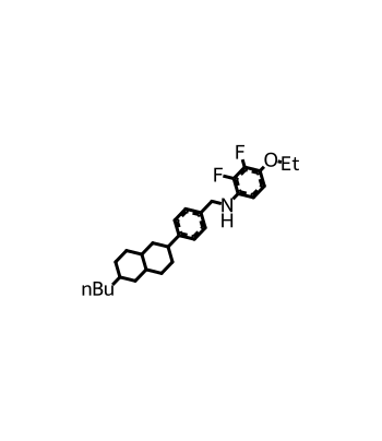 CCCCC1CCC2CC(c3ccc(CNc4ccc(OCC)c(F)c4F)cc3)CCC2C1